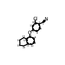 N#Cc1ccc(Oc2cccc3c2CCCC3)cc1Cl